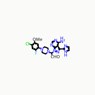 COc1cc(N2CCN(C(C=O)n3nc(-c4ncc[nH]4)c4c(N)ncnc43)CC2)c(F)cc1Cl